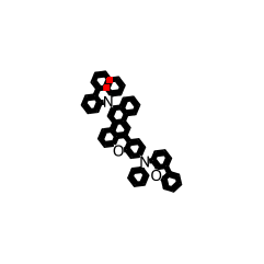 c1ccc(-c2ccccc2N(c2ccccc2)c2cc3c4cccc5c4c(cc3c3ccccc23)-c2ccc(N(c3ccccc3)c3cccc4c3oc3ccccc34)cc2O5)cc1